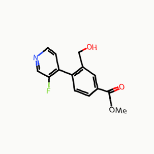 COC(=O)c1ccc(-c2ccncc2F)c(CO)c1